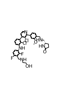 COc1cc(-c2nccc(-c3cccc(Nc4ccc(F)c(CNCCO)c4F)c3Cl)c2Cl)ccc1CNC[C@@H]1CCC(=O)N1